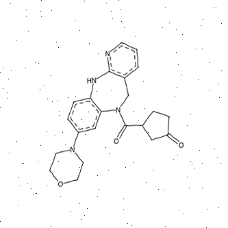 O=C1CCC(C(=O)N2Cc3cccnc3Nc3ccc(N4CCOCC4)cc32)C1